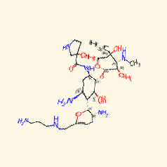 CN[C@@H]1[C@@H](O)[C@@H](O[C@H]2[C@H](NC(=O)C3(O)CCNC3)C[C@H](N)C([C@H]3OC(CNCCCN)=CC[C@H]3N)[C@@H]2O)OC[C@]1(C)O